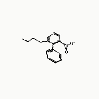 CCCCc1cc[c]c([N+](=O)[O-])c1-c1ccccc1